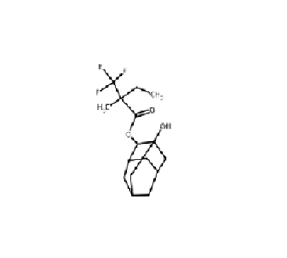 CCC(C)(C(=O)OC1C2CC3CC(C2)CC1(O)C3)C(F)(F)F